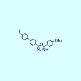 C=Cc1ccc(-c2ccc(/C(=N/C)OC(=N)c3ccc(C(C)(C)C)cc3)cc2)cc1